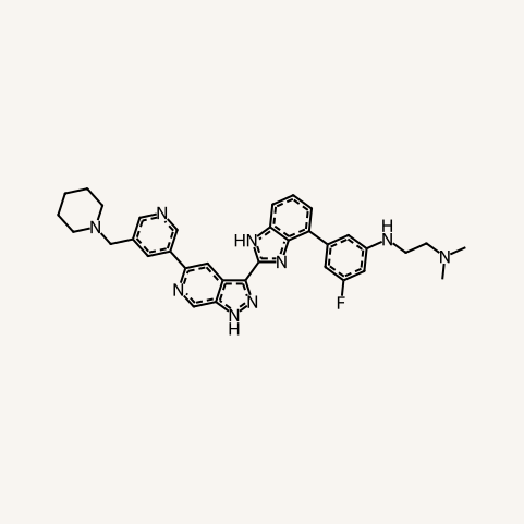 CN(C)CCNc1cc(F)cc(-c2cccc3[nH]c(-c4n[nH]c5cnc(-c6cncc(CN7CCCCC7)c6)cc45)nc23)c1